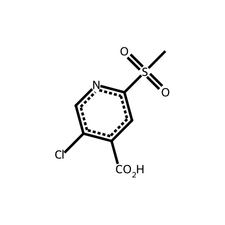 CS(=O)(=O)c1cc(C(=O)O)c(Cl)cn1